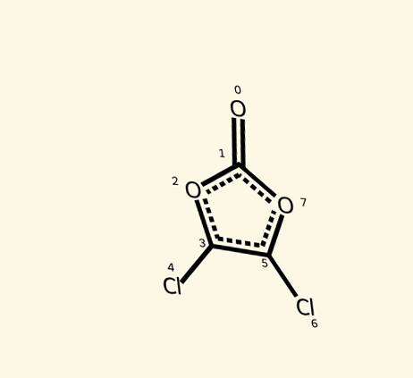 O=c1oc(Cl)c(Cl)o1